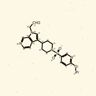 CC(C)Oc1ccc(S(=O)(=O)N2CCC(c3cn(CC=O)c4cnccc34)CC2)cn1